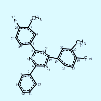 Cc1cc(-c2nc(-c3ccccc3)nc(-c3ccc(F)c(C)c3)n2)ccc1F